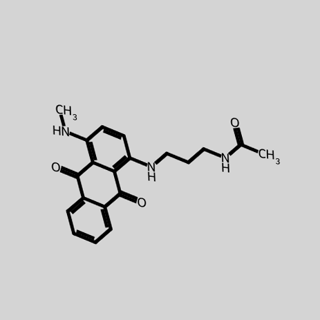 CNc1ccc(NCCCNC(C)=O)c2c1C(=O)c1ccccc1C2=O